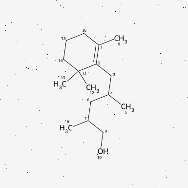 CC1=C(CC(C)CC(C)CO)C(C)(C)CCC1